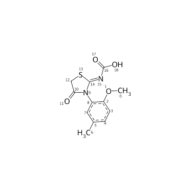 COc1ccc(C)cc1N1C(=O)CS/C1=N\C(=O)O